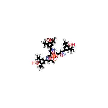 CC(OP(=O)(OC(C)C1CC(c2cc(C(C)(C)C)c(O)c(C(C)(C)C)c2)=NO1)OC(C)C1CC(c2cc(C(C)(C)C)c(O)c(C(C)(C)C)c2)=NO1)C1CC(c2cc(C(C)(C)C)c(O)c(C(C)(C)C)c2)=NO1